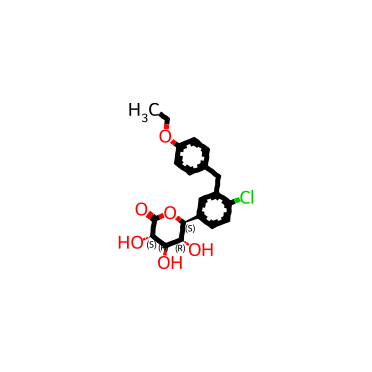 CCOc1ccc(Cc2cc([C@@H]3OC(=O)[C@@H](O)[C@H](O)[C@H]3O)ccc2Cl)cc1